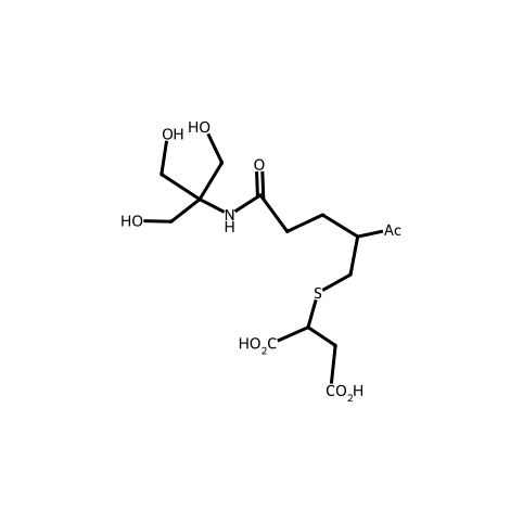 CC(=O)C(CCC(=O)NC(CO)(CO)CO)CSC(CC(=O)O)C(=O)O